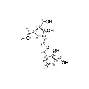 COC(C)c1cc(CO)c(O)c(COOCc2cc(C)cc(CO)c2O)c1